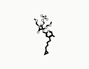 COCO[C@@]1(Cc2cc(CCCCC3CC3)c(C)cn2)C(=O)N(COC)[C@H]1COS(C)(=O)=O